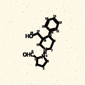 O=C[C@@H]1CCCN1N1CCC(c2ccccc2)C(CO)C1